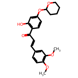 COc1ccc(C=CC(=O)c2ccc(OC3CCCCO3)cc2O)cc1OC